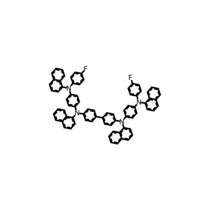 Fc1ccc(N(c2ccc(N(c3ccc(-c4ccc(N(c5ccc(N(c6ccc(F)cc6)c6cccc7ccccc67)cc5)c5cccc6ccccc56)cc4)cc3)c3cccc4ccccc34)cc2)c2cccc3ccccc23)cc1